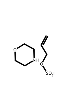 C1COCCN1.C=CCOS(=O)(=O)O